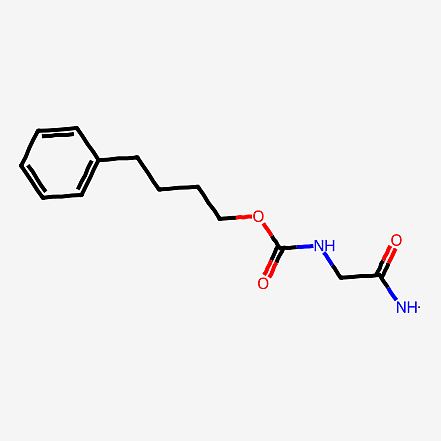 [NH]C(=O)CNC(=O)OCCCCc1ccccc1